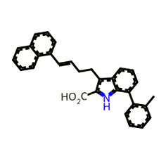 Cc1ccccc1-c1cccc2c(CC/C=C/c3cccc4ccccc34)c(C(=O)O)[nH]c12